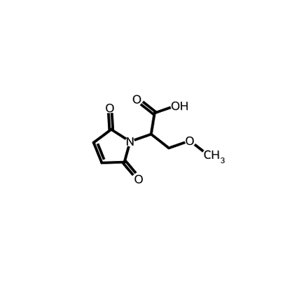 COCC(C(=O)O)N1C(=O)C=CC1=O